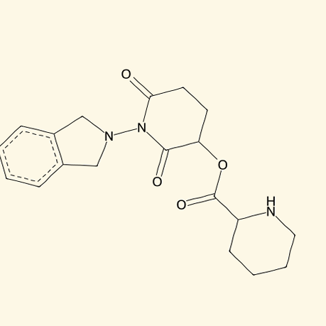 O=C(OC1CCC(=O)N(N2Cc3ccccc3C2)C1=O)C1CCCCN1